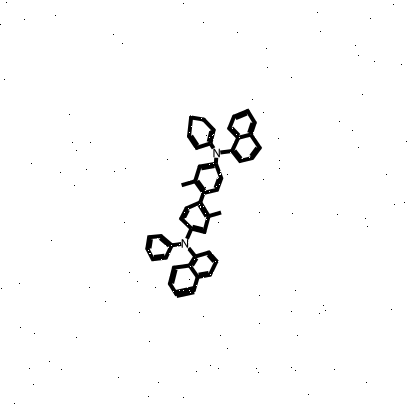 Cc1cc(N(C2=CCCC=C2)c2cccc3ccccc23)ccc1-c1ccc(N(c2ccccc2)c2cccc3c#cccc23)cc1C